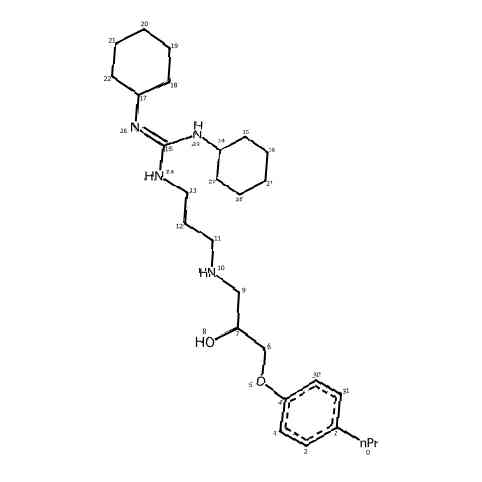 CCCc1ccc(OCC(O)CNCCCNC(=NC2CCCCC2)NC2CCCCC2)cc1